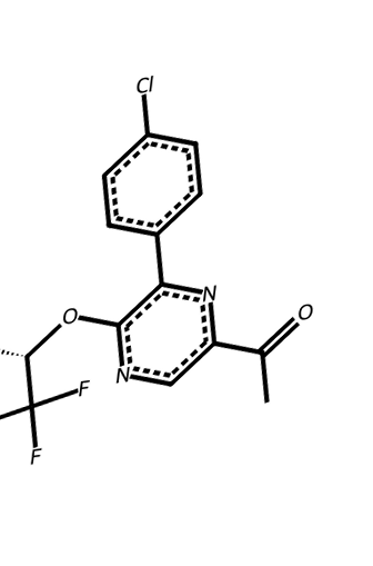 CC(=O)c1cnc(O[C@@H](C)C(F)(F)F)c(-c2ccc(Cl)cc2)n1